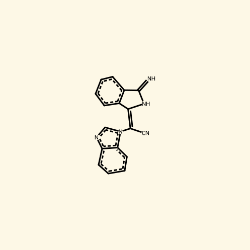 N#CC(=C1NC(=N)c2ccccc21)n1cnc2ccccc21